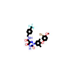 COc1ccc(Oc2c(C)cc(-n3nc(C(=O)NCc4ccc(C(F)(F)F)cc4)c(=O)[nH]c3=O)cc2C)cc1Br